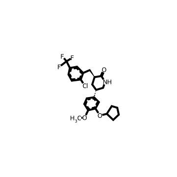 COc1ccc([C@H]2CNC(=O)[C@H](Cc3cc(C(F)(F)F)ccc3Cl)C2)cc1OC1CCCC1